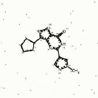 Cn1cc(-c2nc3c(C4CCCC4)noc3c(=O)[nH]2)cn1